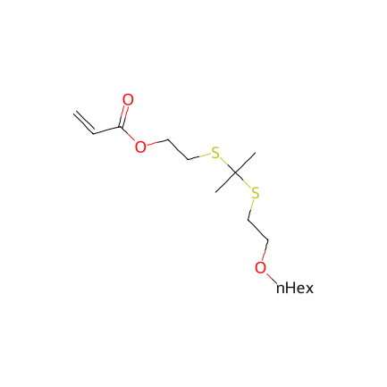 C=CC(=O)OCCSC(C)(C)SCCOCCCCCC